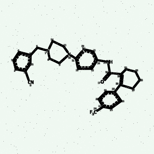 N#Cc1cccc(CN2CCN(c3ccc(NC(=O)C4=C(c5ccc(C(F)(F)F)cc5)CCCC4)cn3)CC2)c1